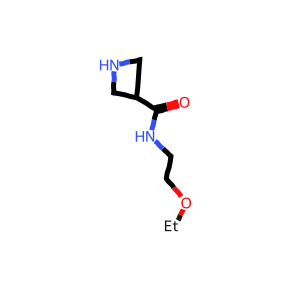 CCOCCNC(=O)C1CNC1